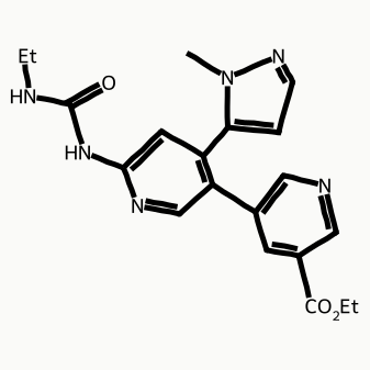 CCNC(=O)Nc1cc(-c2ccnn2C)c(-c2cncc(C(=O)OCC)c2)cn1